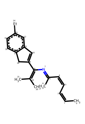 C\C=C/C=C\C(C)=N\C(C1=Cc2cc(CC)ccc2C1)=C(C)C